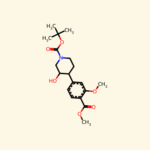 COC(=O)c1ccc(C2CCN(C(=O)OC(C)(C)C)CC2O)cc1OC